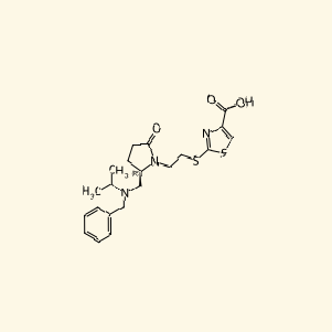 CC(C)N(Cc1ccccc1)C[C@H]1CCC(=O)N1CCSc1nc(C(=O)O)cs1